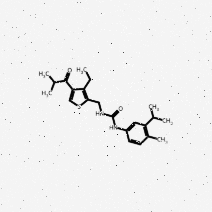 CCc1c(C(=O)C(C)C)csc1CNC(=O)Nc1ccc(C)c(C(C)C)c1